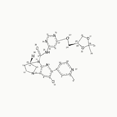 Cc1cc(-c2nc3c(cc2Cl)N2CC[C@@H](C2)N3C(=O)Nc2cc(OC[C@H]3COC(C)(C)O3)ncn2)ccn1